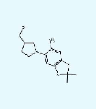 CC1(C)Cc2cc(N)c(N3CCC(CO)C3)cc2O1